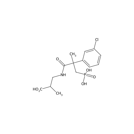 CC(CNC(=O)C(C)(CP(=O)(O)O)c1cccc(Cl)c1)C(=O)O